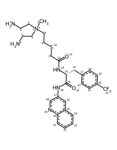 C[N+](CCN)(CCN)CCSCC(=O)N[C@H](Cc1ccc(C(F)(F)F)cc1)C(=O)Nc1cnc2ccccc2c1